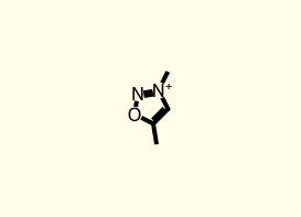 Cc1c[n+](C)no1